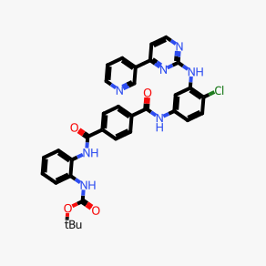 CC(C)(C)OC(=O)Nc1ccccc1NC(=O)c1ccc(C(=O)Nc2ccc(Cl)c(Nc3nccc(-c4cccnc4)n3)c2)cc1